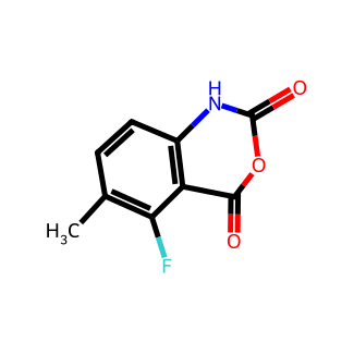 Cc1ccc2[nH]c(=O)oc(=O)c2c1F